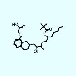 CCCCC[C@@H](CCC(C)[C@H](O)C[C@H]1CCc2cccc(OCC(=O)O)c2C1)OC(=O)C(C)(C)C